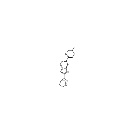 CC1CCC(c2ccc3sc(C4CN5CCC4C5)nc3c2)=NC1